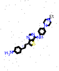 CCN1CCN(c2ccc(Nc3ncnc4c(/C=C/c5ccc(N)cc5)csc34)cc2)CC1